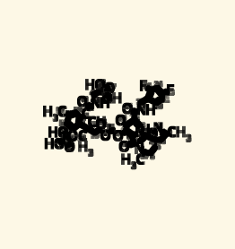 CC1=NO[C@@]2(CC[C@H](C)N3C[C@H]2n2cc(C(=O)NCc4ccc(F)cc4F)c(=O)c(OCOC(=O)CC(C)(C)c4c(CC(=O)NCP(=O)(O)O)cc(C)cc4OP(=O)(O)O)c2C3=O)C1